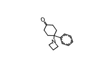 O=C1CCC(c2ccccc2)(N2CCC2)CC1